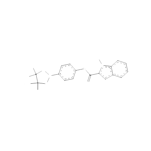 Cn1c(C(=O)Nc2ccc(B3OC(C)(C)C(C)(C)O3)cc2)cc2ccccc21